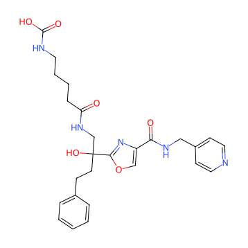 O=C(O)NCCCCC(=O)NCC(O)(CCc1ccccc1)c1nc(C(=O)NCc2ccncc2)co1